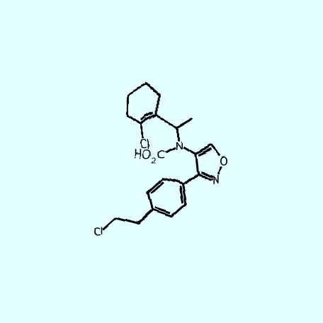 CC(C1=C(Cl)CCCC1)N(C(=O)O)c1conc1-c1ccc(CCCl)cc1